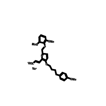 COc1ccc(CCCCOc2ccc(CSc3c(OC)cccc3OC)nc2C=CC(=O)[O-])cc1.[Na+]